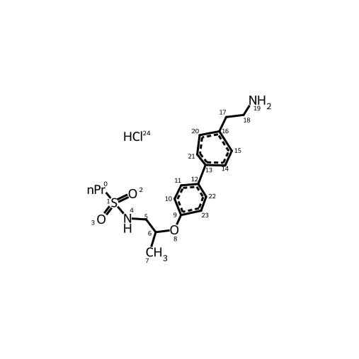 CCCS(=O)(=O)NCC(C)Oc1ccc(-c2ccc(CCN)cc2)cc1.Cl